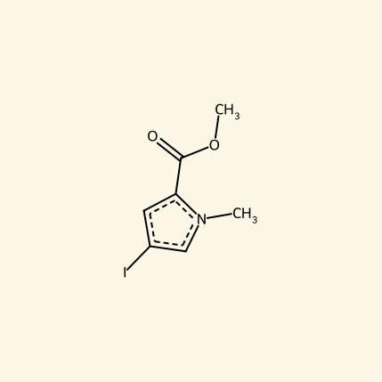 COC(=O)c1cc(I)cn1C